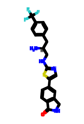 N[C@H](CNc1ncc(-c2ccc3c(c2)CNC3=O)s1)Cc1ccc(C(F)(F)F)cc1